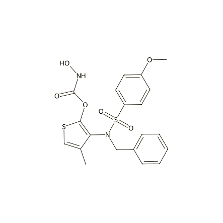 COc1ccc(S(=O)(=O)N(Cc2ccccc2)c2c(C)csc2OC(=O)NO)cc1